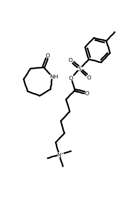 Cc1ccc(S(=O)(=O)OC(=O)CCCCC[N+](C)(C)C)cc1.O=C1CCCCCN1